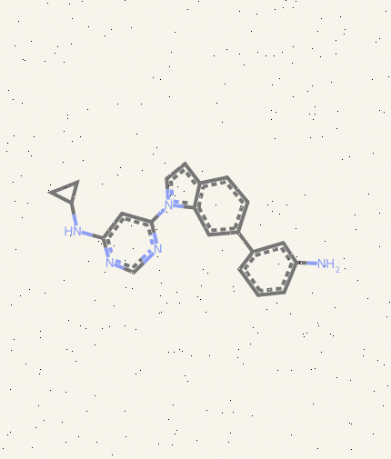 Nc1cccc(-c2ccc3ccn(-c4cc(NC5CC5)ncn4)c3c2)c1